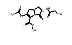 CC(=S)NC1=C(C(=O)OC(C)(C)C)N2C(=O)[C@@H](NC(=O)OC(C)(C)C)CN2C1